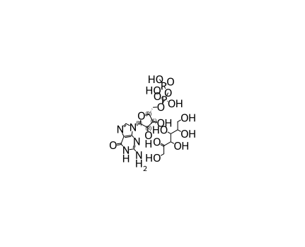 Nc1nc2c(ncn2[C@@H]2O[C@H](COP(=O)(O)OP(=O)(O)O)[C@@H](O)[C@H]2O)c(=O)[nH]1.O=C(CO)C(O)C(O)C(O)CO